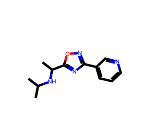 CC(C)NC(C)c1nc(-c2cccnc2)no1